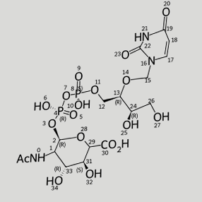 CC(=O)NC1[C@@H](O[P@@](=O)(O)O[P@@](=O)(O)OC[C@@H](OCn2ccc(=O)[nH]c2=O)[C@H](O)CO)OC(C(=O)O)[C@@H](O)[C@@H]1O